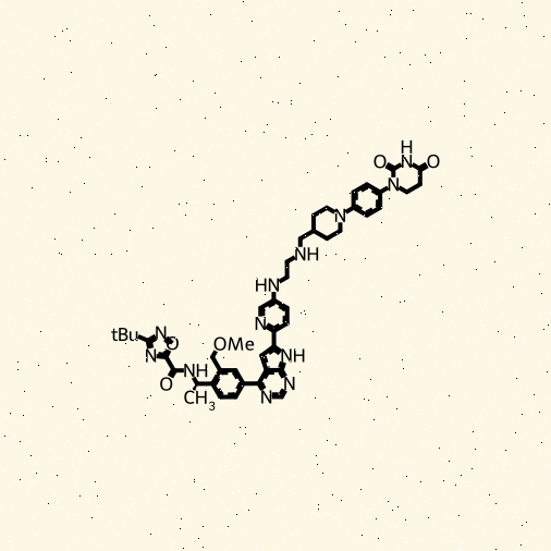 COCc1cc(-c2ncnc3[nH]c(-c4ccc(NCCNCC5CCN(c6ccc(N7CCC(=O)NC7=O)cc6)CC5)cn4)cc23)ccc1[C@@H](C)NC(=O)c1nc(C(C)(C)C)no1